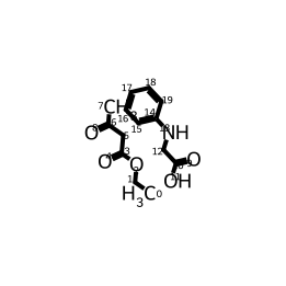 CCOC(=O)CC(C)=O.O=C(O)CNc1ccccc1